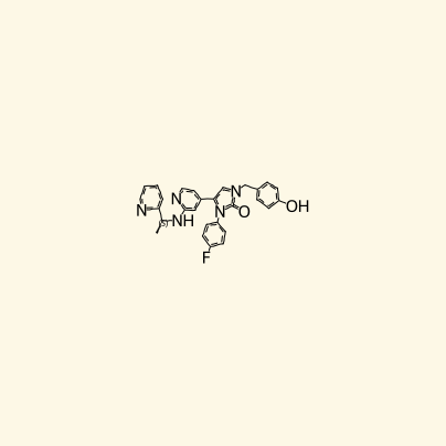 C[C@H](Nc1cc(-c2cn(Cc3ccc(O)cc3)c(=O)n2-c2ccc(F)cc2)ccn1)c1ccccn1